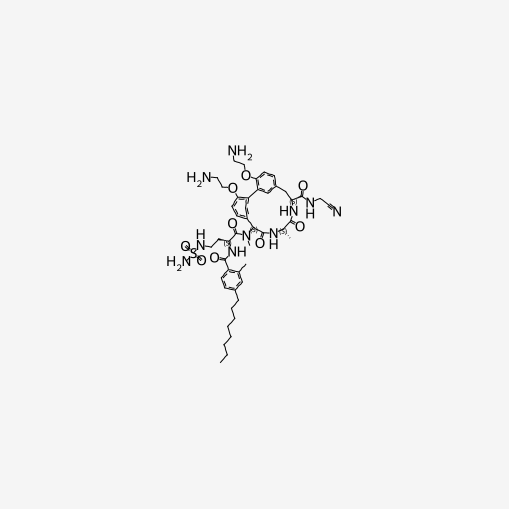 CCCCCCCCc1ccc(C(=O)N[C@@H](CCNS(N)(=O)=O)C(=O)N(C)[C@@H]2C(=O)N[C@@H](C)C(=O)N[C@H](C(=O)NCC#N)Cc3ccc(OCCN)c(c3)-c3cc2ccc3OCCN)c(C)c1